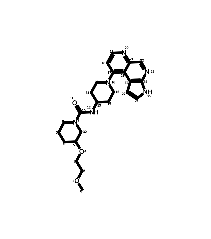 COCCOC1CCCN(C(=O)NC2CCN(c3ccnc4cnc5[nH]ccc5c34)CC2)C1